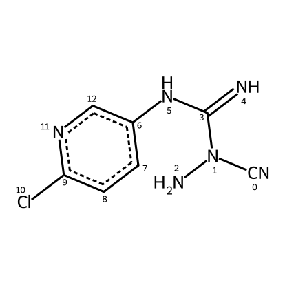 N#CN(N)C(=N)Nc1ccc(Cl)nc1